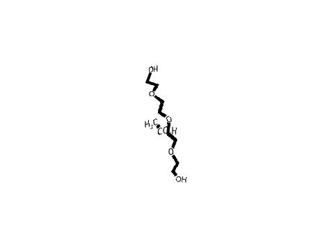 CC(=O)O.OCCOCCOCCOCCO